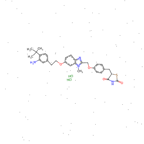 Cl.Cl.Cn1c(COc2ccc(CC3SC(=O)NC3=O)cc2)nc2ccc(OCCc3ccc(C(C)(C)C)c(N)c3)cc21